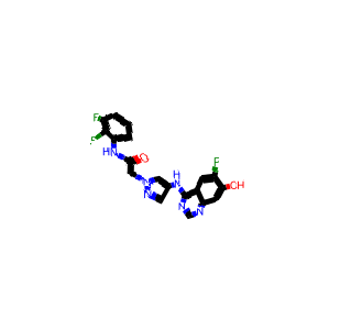 O=C(Cn1cc(Nc2ncnc3cc(O)c(F)cc23)cn1)Nc1cccc(F)c1F